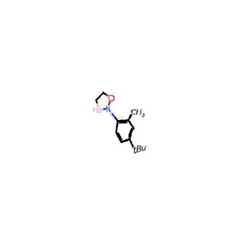 Cc1cc(C(C)(C)C)ccc1N1BCCO1